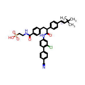 CC(C)(C)/C=C/c1ccc(C(Cc2ccc(C(=O)NCCS(=O)(=O)O)cc2)C(=O)Nc2ccc(-c3ccc(C#N)cc3)c(Cl)c2)cc1